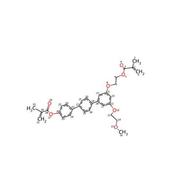 C=C(C)C(=O)OCCOc1cc(OCCOC)cc(-c2ccc(-c3ccc(OC(=O)C(=C)C)cc3)cc2)c1